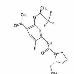 C[C@H](Oc1cc(NC(=O)N2CCC[C@@H]2CO)c(F)cc1C(=O)O)C(F)(F)F